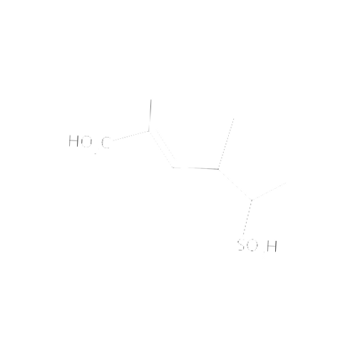 CC(=CC(C)C(C)S(=O)(=O)O)C(=O)O